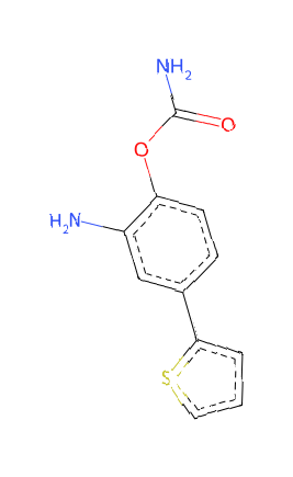 NC(=O)Oc1ccc(-c2cccs2)cc1N